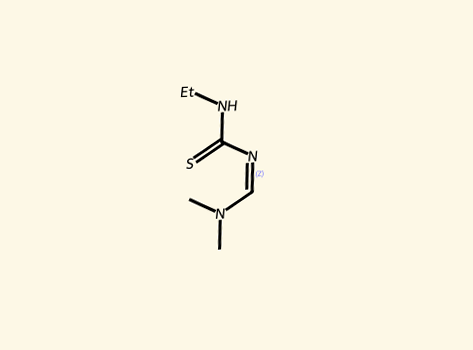 CCNC(=S)/N=C\N(C)C